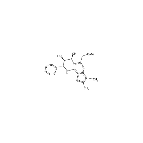 COCc1cn2c(C)c(C)nc2c2c1[C@H](O)[C@H](O)[C@@H](c1ccccc1)N2